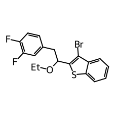 CCOC(Cc1ccc(F)c(F)c1)c1sc2ccccc2c1Br